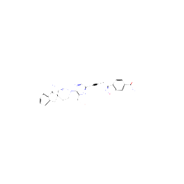 NC(=O)c1ccc2c(CC#Cc3cnc(N4CCC5(CC4)Cc4ccccc4[C@H]5N)c(CO)n3)noc2c1